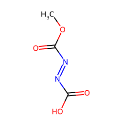 COC(=O)N=NC(=O)O